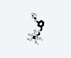 COCOc1cccc(COCS(C)(C)C(C)(C)C)c1